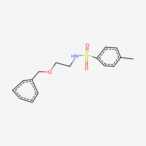 Cc1ccc(S(=O)(=O)NCCOCc2ccccc2)cc1